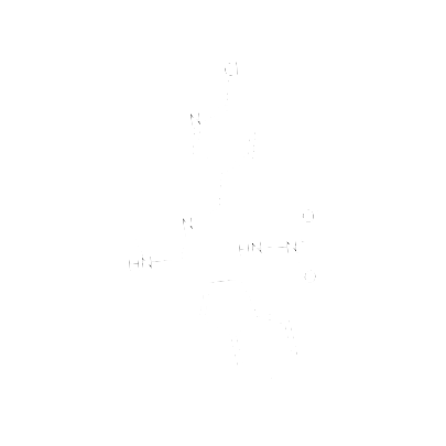 O=[N+]([O-])NC1C(C2NCCN2Cc2ccc(Cl)nc2)=Cc2ccccc21